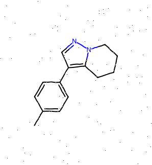 Cc1ccc(-c2cnn3c2CCCC3)cc1